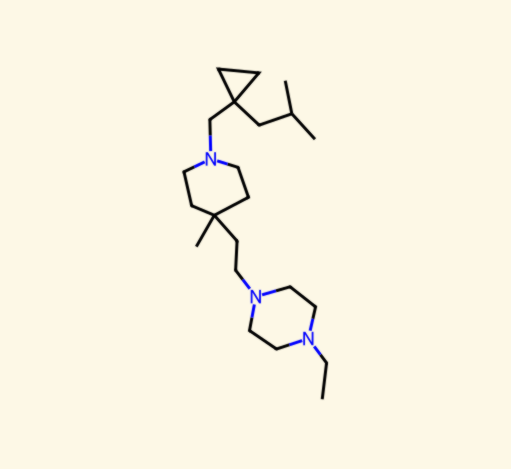 CCN1CCN(CCC2(C)CCN(CC3(CC(C)C)CC3)CC2)CC1